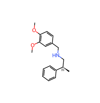 COc1ccc(CNC[C@@H](C)c2ccccc2)cc1OC